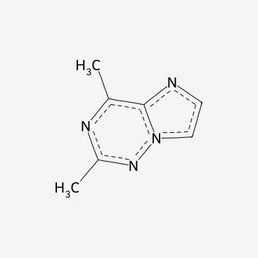 Cc1nc(C)c2nccn2n1